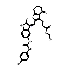 CCOC(=O)CCc1c(/C=C2\C(=O)Nc3ccc(NC(=O)Nc4ccc(Br)cc4)cc32)[nH]c2c1C(=O)CCC2